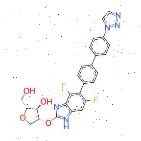 OC[C@H]1OC[C@@H](Oc2nc3c(F)c(-c4ccc(-c5ccc(-n6ccnn6)cc5)cc4)c(F)cc3[nH]2)[C@@H]1O